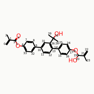 C=C(C)C(=O)Oc1ccc(-c2ccc(-c3ccc(OC(O)C(=C)C)cc3)c(C(C)(C)O)c2)cc1